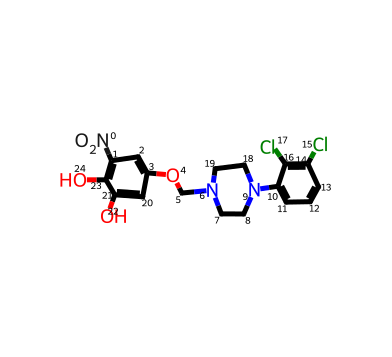 O=[N+]([O-])c1cc(OCN2CCN(c3cccc(Cl)c3Cl)CC2)cc(O)c1O